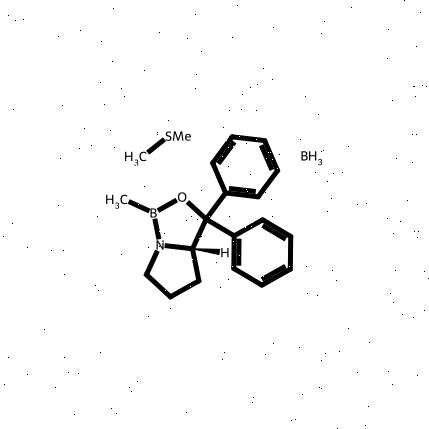 B.CB1OC(c2ccccc2)(c2ccccc2)[C@@H]2CCCN12.CSC